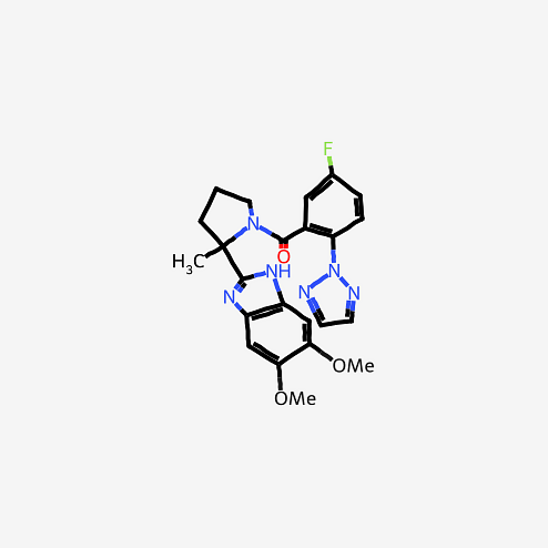 COc1cc2nc(C3(C)CCCN3C(=O)c3cc(F)ccc3-n3nccn3)[nH]c2cc1OC